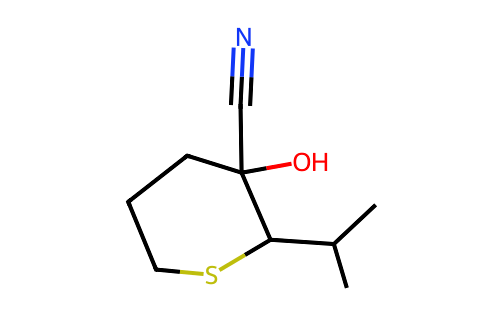 CC(C)C1SCCCC1(O)C#N